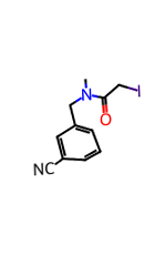 CN(Cc1cccc(C#N)c1)C(=O)CI